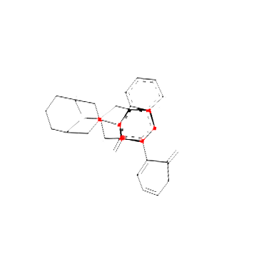 O=C1CC=CC=C1c1nc2ccccc2n(C2CC3CCCC(C2)N3C2CC3CCCC(C3)C2)c1=O